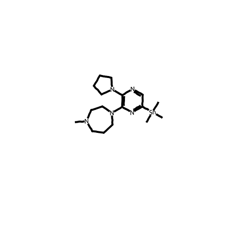 CN1CCCN(c2n[c]([Sn]([CH3])([CH3])[CH3])cnc2N2CCCC2)CC1